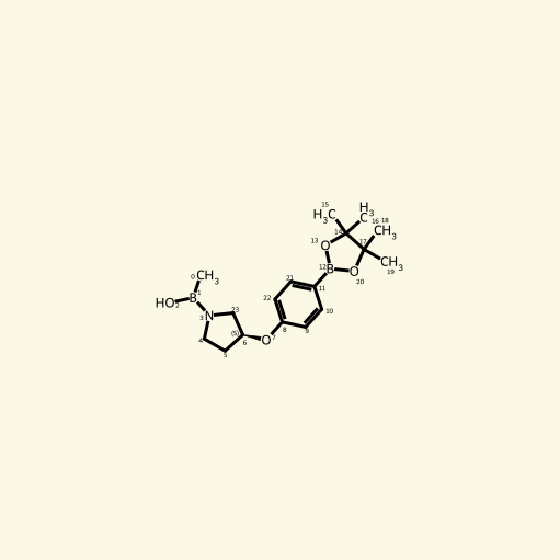 CB(O)N1CC[C@H](Oc2ccc(B3OC(C)(C)C(C)(C)O3)cc2)C1